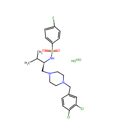 CC(C)[C@H](CN1CCN(Cc2ccc(Cl)c(Cl)c2)CC1)NS(=O)(=O)c1ccc(F)cc1.Cl.Cl